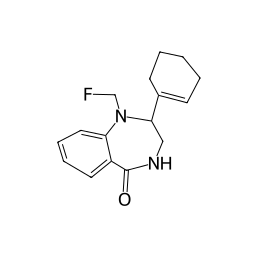 O=C1NCC(C2=CCCCC2)N(CF)c2ccccc21